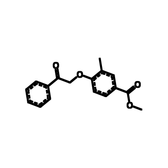 COC(=O)c1ccc(OCC(=O)c2ccccc2)c(C)c1